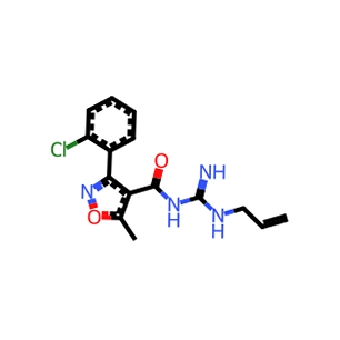 C=CCNC(=N)NC(=O)c1c(-c2ccccc2Cl)noc1C